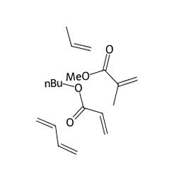 C=C(C)C(=O)OC.C=CC.C=CC(=O)OCCCC.C=CC=C